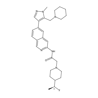 C[C@H](F)C1CCN(CC(=O)Nc2cc3cc(-c4cnn(C)c4CN4CCCCC4)ccc3cn2)CC1